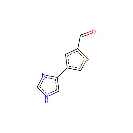 O=Cc1cc(-c2c[nH]cn2)cs1